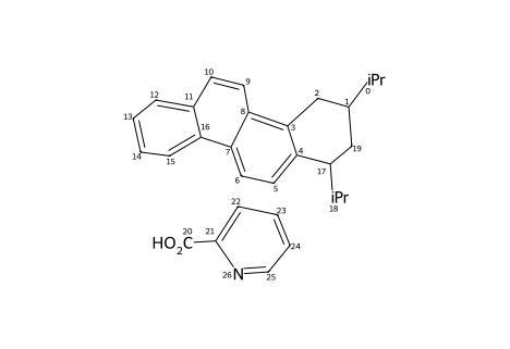 CC(C)C1Cc2c(ccc3c2ccc2ccccc23)C(C(C)C)C1.O=C(O)c1ccccn1